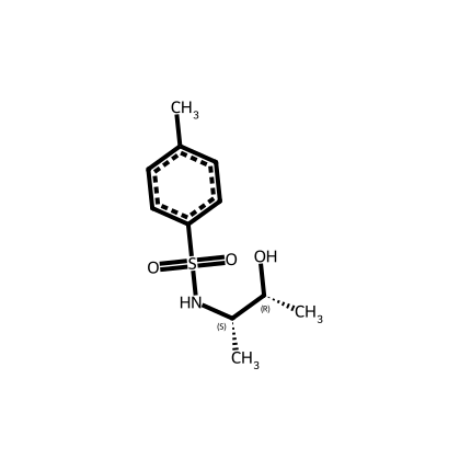 Cc1ccc(S(=O)(=O)N[C@@H](C)[C@@H](C)O)cc1